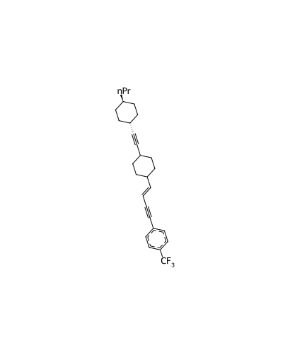 CCC[C@H]1CC[C@H](C#CC2CCC(/C=C/C#Cc3ccc(C(F)(F)F)cc3)CC2)CC1